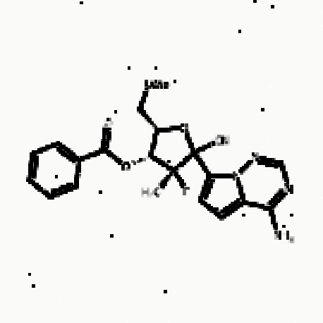 COC[C@H]1OC(C#N)(c2ccc3c(N)ncnn23)[C@](C)(F)[C@@H]1OC(=O)c1ccccc1